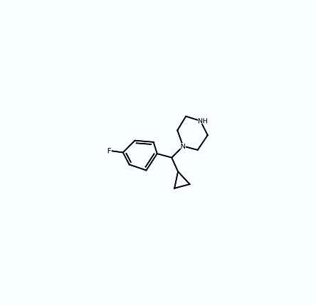 Fc1ccc(C(C2CC2)N2CCNCC2)cc1